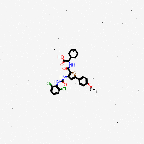 COc1ccc(-c2cc(NC(=O)Nc3c(Cl)cccc3Cl)c(C(=O)N[C@H](C(=O)O)C3CCCCC3)s2)cc1